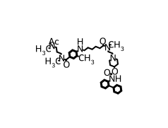 CC(=O)N(C)CCCN(C)C(=O)c1ccc(NCCCCCC(=O)N(C)CCN2CCC(OC(=O)Nc3ccccc3-c3ccccc3)CC2)c(C)c1